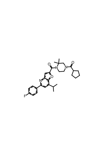 CC(C)c1cc(-c2ccc(F)cc2)nc2cc(C(=O)N3CCN(C(=O)C4CCCC4)CC3(C)C)oc12